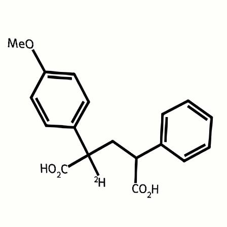 [2H]C(CC(C(=O)O)c1ccccc1)(C(=O)O)c1ccc(OC)cc1